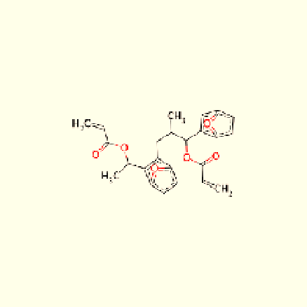 C=CC(=O)OC(C)c1c(CC(C)C(OC(=O)C=C)c2cc3ccc2o3)c2ccc1o2